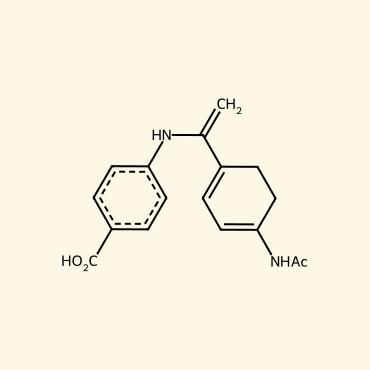 C=C(Nc1ccc(C(=O)O)cc1)C1=CC=C(NC(C)=O)CC1